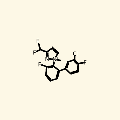 C[N+]1(c2c(F)cccc2-c2ccc(F)c(Cl)c2)C=[C]C(C(F)F)=N1